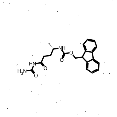 C[C@@H](CCC(=O)NC(N)=O)NC(=O)OCC1c2ccccc2-c2ccccc21